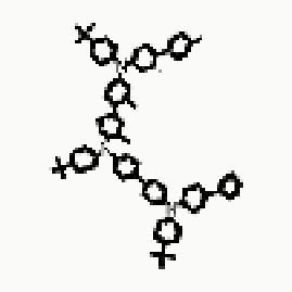 Cc1ccc(C2=CC=C(N(c3ccc(C(C)(C)C)cc3)c3ccc(-c4ccc(N(c5ccc(-c6ccc(N(c7ccc(-c8ccccc8)cc7)c7ccc(C(C)(C)C)cc7)cc6)cc5)c5ccc(C(C)(C)C)cc5)c(C)c4)c(C)c3)C[C@H]2C)cc1